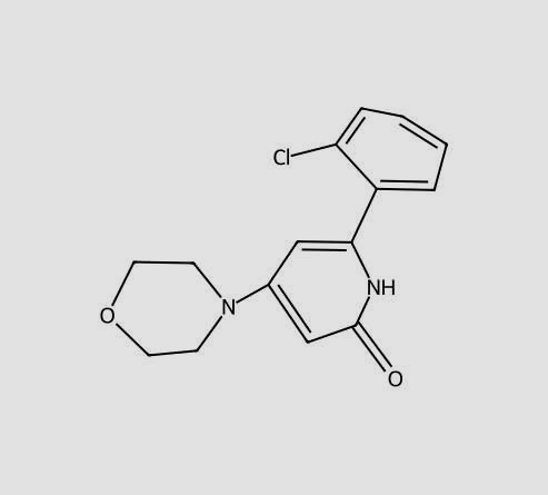 O=c1cc(N2CCOCC2)cc(-c2ccccc2Cl)[nH]1